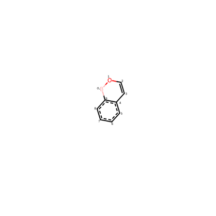 [B]1OC=Cc2ccccc21